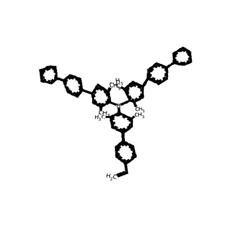 C=Cc1ccc(-c2cc(C)c(B(c3c(C)cc(-c4ccc(-c5ccccc5)cc4)cc3C)c3c(C)cc(-c4ccc(-c5ccccc5)cc4)cc3C)c(C)c2)cc1